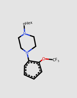 [CH2]CCCCCN1CCN(c2ccccc2OC(F)(F)F)CC1